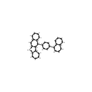 c1ccc2c(-c3ccc(-c4c5ccccc5cc5sc6ccccc6c45)cc3)cccc2c1